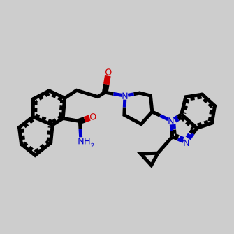 NC(=O)c1c(C[CH]C(=O)N2CCC(n3c(C4CC4)nc4ccccc43)CC2)ccc2ccccc12